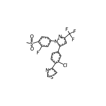 CS(=O)(=O)c1ccc(-n2nc(C(F)(F)F)cc2-c2ccc(-c3cscn3)c(Cl)c2)cc1F